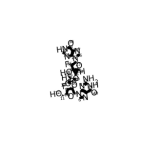 Nc1nc2c(ncn2[C@@H]2O[C@H](CO)[C@H](F)[C@H]2OP(=O)(S)OC2[C@H]3O[C@@H](n4cnc5c(=O)[nH]cnc54)[C@@H](F)[C@@]23O)c(=O)[nH]1